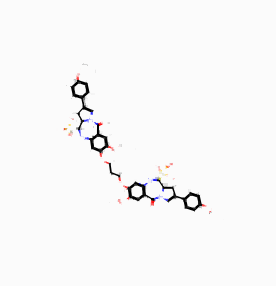 COc1ccc(C2=CN3C(=O)c4cc(OC)c(OCCCOc5cc6c(cc5OC)C(=O)N5C=C(c7ccc(OC)cc7)CC5[C@@H](S(=O)(=O)O)N6)cc4NC(S(=O)(=O)O)C3C2)cc1